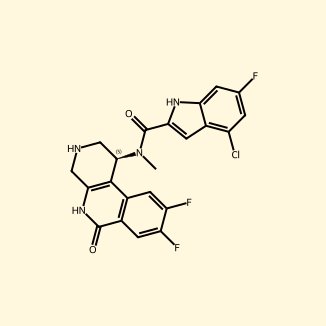 CN(C(=O)c1cc2c(Cl)cc(F)cc2[nH]1)[C@@H]1CNCc2[nH]c(=O)c3cc(F)c(F)cc3c21